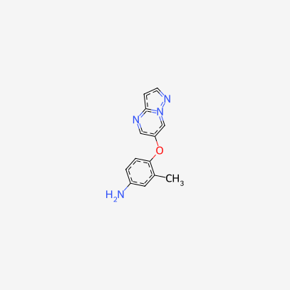 Cc1cc(N)ccc1Oc1cnc2ccnn2c1